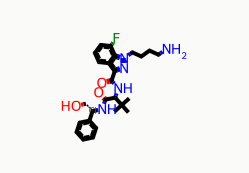 CC(C)(C)C(NC(=O)c1nn(CCCCN)c2c(F)cccc12)C(=O)N[C@@H](CO)c1ccccc1